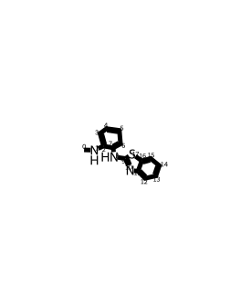 CNc1ccccc1Nc1nc2ccccc2s1